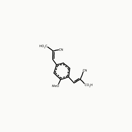 COc1cc(/C=C(\C#N)C(=O)O)ccc1/C=C(\C#N)C(=O)O